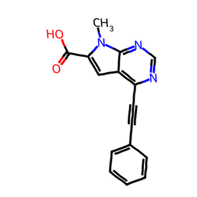 Cn1c(C(=O)O)cc2c(C#Cc3ccccc3)ncnc21